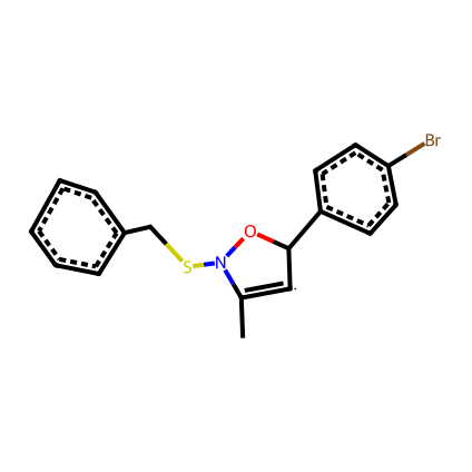 CC1=[C]C(c2ccc(Br)cc2)ON1SCc1ccccc1